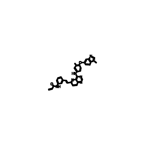 C=CC(=O)Nc1cccc(C=Cc2ccc3ncnc(Nc4ccc(Oc5ccc6c(c5)ncn6C)c(C)c4)c3n2)c1